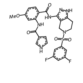 COc1ccc(C(=O)Nc2n[nH]c3c2CN(S(=O)(=O)c2cc(F)cc(F)c2)CC3)c(NC(=O)c2cc[nH]c2)c1